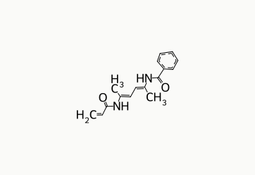 C=CC(=O)N/C(C)=C/C=C(\C)NC(=O)c1ccccc1